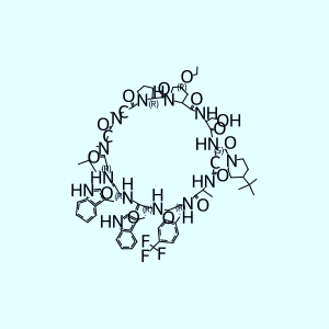 CCO[C@@H]1CC2C(=O)NC(CO)C(=O)N[C@H](C(=O)N3CCC(C(C)(C)C)CC3)CC(=O)NC(C)C(=O)N[C@H](Cc3ccc(C(F)(F)F)cc3)C(=O)N[C@H](Cc3c[nH]c4ccccc34)C(=O)N[C@H](Cc3c[nH]c4ccccc34)C(=O)N[C@H](CC(C)C)C(=O)N(C)CC(=O)N(C)CC(=O)N3CCC[C@@H]3C(=O)N2C1